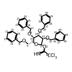 N=C(O[C@H]1O[C@H](COCc2ccccc2)[C@@H](OCc2ccccc2)[C@H](OCc2ccccc2)[C@H]1OCc1ccccc1)C(Cl)(Cl)Cl